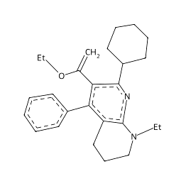 C=C(OCC)c1c(C2CCCCC2)nc2c(c1-c1ccccc1)CCCN2CC